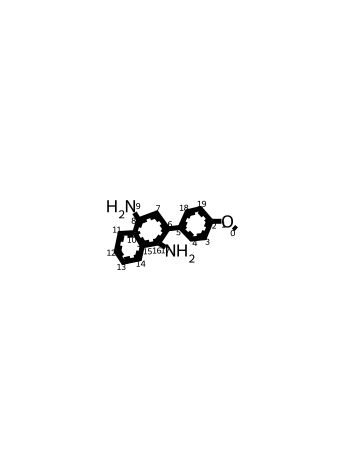 COc1ccc(-c2cc(N)c3ccccc3c2N)cc1